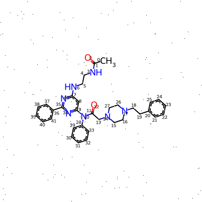 CC(=O)NCCNc1cc(N(C(=O)CN2CCN(CCc3ccccc3)CC2)c2ccccc2)nc(-c2ccccc2)n1